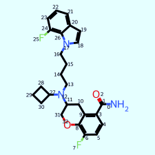 NC(=O)c1ccc(F)c2c1CC(N(CCCCn1ccc3cccc(F)c31)C1CCC1)CO2